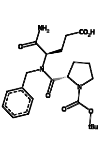 CC(C)(C)OC(=O)N1CCC[C@H]1C(=O)N(Cc1ccccc1)[C@H](CCC(=O)O)C(N)=O